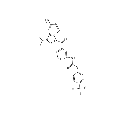 CC(C)n1cc(C(=O)c2cncc(NC(=O)Cc3ccc(C(F)(F)F)cc3)c2)c2cnc(N)nc21